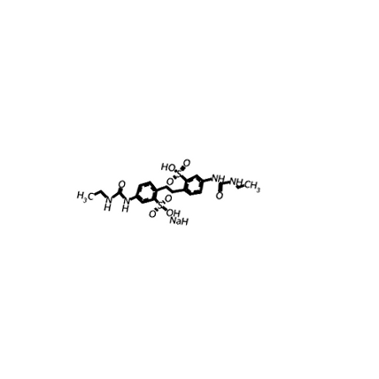 CCNC(=O)Nc1ccc(CCc2ccc(NC(=O)NCC)cc2S(=O)(=O)O)c(S(=O)(=O)O)c1.[NaH]